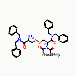 CCCCCCCC(=O)N(C(=O)CCCCCCC)[C@@H](CSSCC(N)C(=O)N(Cc1ccccc1)Cc1ccccc1)C(=O)N(Cc1ccccc1)Cc1ccccc1